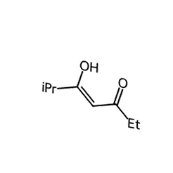 CCC(=O)/C=C(\O)C(C)C